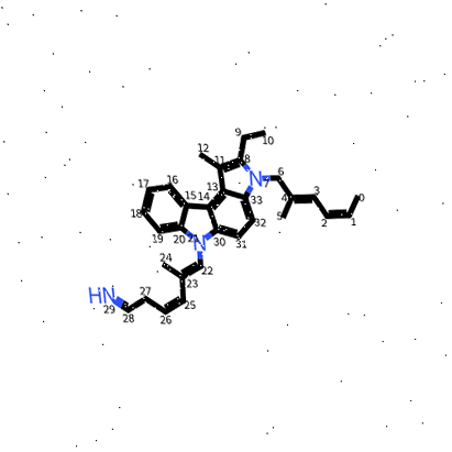 C/C=C\C=C(/C)Cn1c(CC)c(C)c2c3c4ccccc4n(/C=C(C)/C=C\CC=N)c3ccc21